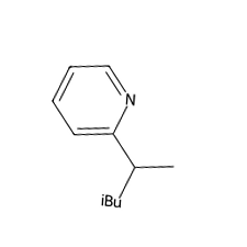 CCC(C)C(C)c1ccccn1